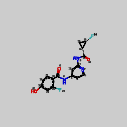 O=C(Nc1ccnc(NC(=O)[C@@H]2C[C@@H]2F)c1)c1ccc(O)cc1F